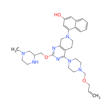 C=CCOCN1CCN(c2nc(OCC3CN(C)CCN3)nc3c2CCN(c2cc(O)cc4ccccc24)C3)CC1